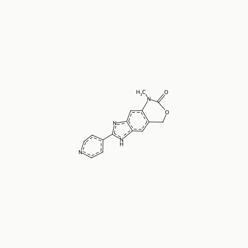 CN1C(=O)OCc2cc3[nH]c(-c4ccncc4)nc3cc21